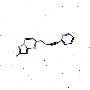 Cc1cc2nc(CCC#Cc3ccccn3)ccn2n1